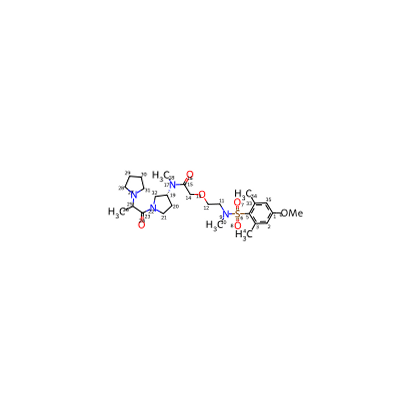 COc1cc(C)c(S(=O)(=O)N(C)CCOCC(=O)N(C)[C@@H]2CCN(C(=O)C(C)N3CCCC3)C2)c(C)c1